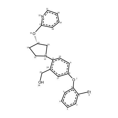 CCc1ccccc1Oc1ccc(N2CC[C@H](Oc3ccccn3)C2)c(CO)c1